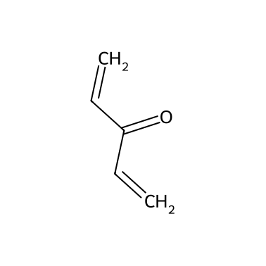 C=CC(=O)C=C